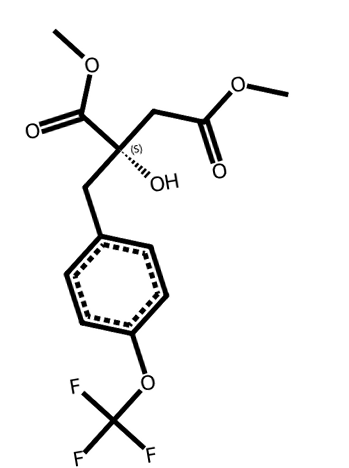 COC(=O)C[C@@](O)(Cc1ccc(OC(F)(F)F)cc1)C(=O)OC